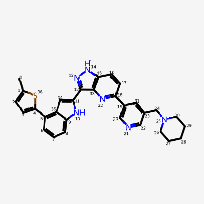 Cc1ccc(-c2cccc3[nH]c(-c4n[nH]c5ccc(-c6cncc(CN7CCCCC7)c6)nc45)cc23)s1